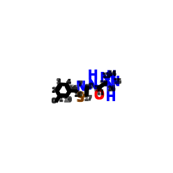 Cc1cccc(-c2nc(NC(=O)c3nnn[nH]3)cs2)c1